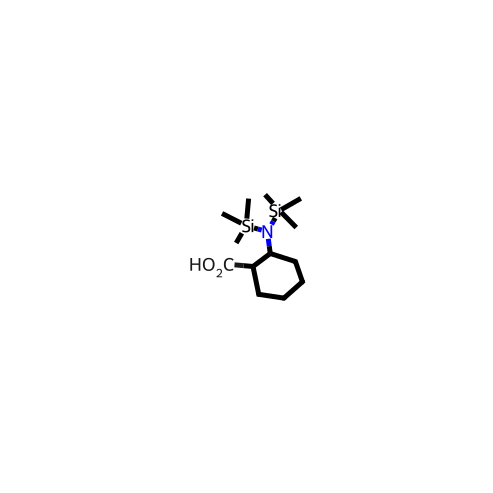 C[Si](C)(C)N(C1CCCCC1C(=O)O)[Si](C)(C)C